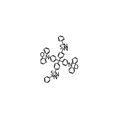 c1ccc(-c2nnc(-c3ccc(C(c4ccc(-c5nnc(-c6ccccc6)s5)cc4)(c4ccc(N5c6ccccc6Oc6ccccc65)cc4)c4ccc(N5c6ccccc6Oc6ccccc65)cc4)cc3)s2)cc1